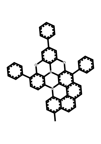 Cc1ccc2c3c1ccc1ccc4c(-c5ccccc5)c5c6c(c4c13)N2c1ccc(-c2ccccc2)c2c1B6c1c(cc(-c3ccccc3)cc1O5)O2